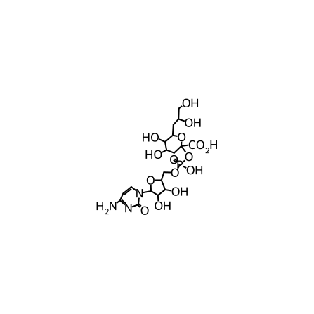 Nc1ccn(C2OC(COP(=O)(O)OC3(C(=O)O)CC(O)C(O)C(CC(O)CO)O3)C(O)C2O)c(=O)n1